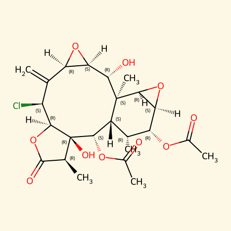 C=C1[C@H]2O[C@H]2[C@H](O)[C@]2(C)[C@H]([C@@H](C)[C@@H](OC(C)=O)[C@@H]3O[C@@H]32)[C@H](OC(C)=O)[C@]2(O)[C@@H](C)C(=O)O[C@H]2[C@H]1Cl